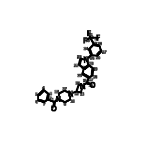 O=C(c1ccccc1)N1CCN(C2CN(C(=O)c3ccc4c(ccn4-c4cccc(C(F)(F)F)c4)c3)C2)CC1